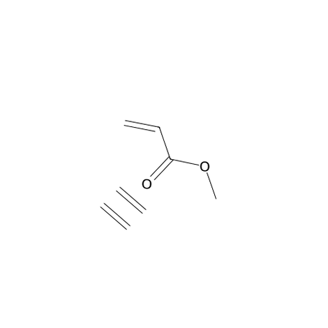 C=C.C=C.C=CC(=O)OC